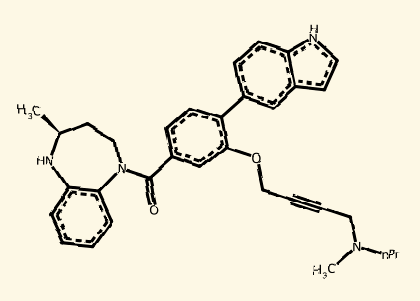 CCCN(C)CC#CCOc1cc(C(=O)N2CC[C@H](C)Nc3ccccc32)ccc1-c1ccc2[nH]ccc2c1